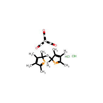 CC1=P[C](C)([Zr][C]2(C)P=C(C)C(C)=C2C)C(C)=C1C.Cl.Cl.O=[C]=[Fe](=[C]=O)=[C]=O